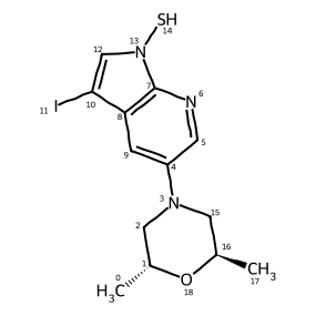 C[C@@H]1CN(c2cnc3c(c2)c(I)cn3S)C[C@@H](C)O1